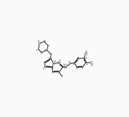 Cc1cc2ncc(CN3CCOCC3)n2nc1NCc1ccc(Cl)c(Cl)c1